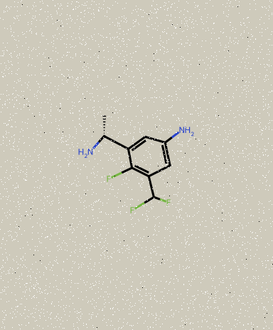 C[C@@H](N)c1cc(N)cc(C(F)F)c1F